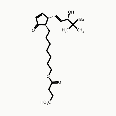 CCCCC(C)(C)[C@H](O)/C=C/[C@H]1C=CC(=O)[C@@H]1CCCCCCCOC(=O)CCC(=O)O